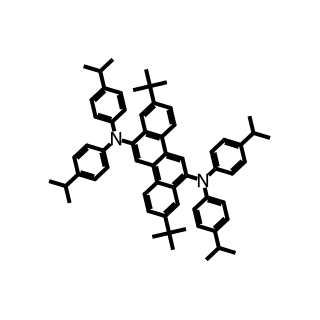 CC(C)c1ccc(N(c2ccc(C(C)C)cc2)c2cc3c4ccc(C(C)(C)C)cc4c(N(c4ccc(C(C)C)cc4)c4ccc(C(C)C)cc4)cc3c3ccc(C(C)(C)C)cc23)cc1